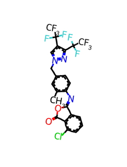 Cc1cc(Cn2cc(C(F)(F)C(F)(F)F)c(C(F)(F)C(F)(F)F)n2)ccc1N=C1OC(=O)c2c(Cl)cccc21